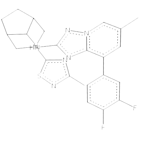 Cc1cc(-c2ccc(F)c(F)c2)c2nc(NC3C4CCC3CN(c3nc(C)ns3)C4)nn2c1